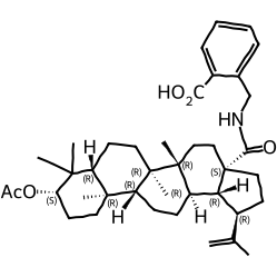 C=C(C)[C@@H]1CC[C@]2(C(=O)NCc3ccccc3C(=O)O)CC[C@]3(C)[C@H](CC[C@@H]4[C@@]5(C)CC[C@H](OC(C)=O)C(C)(C)[C@@H]5CC[C@]43C)[C@@H]12